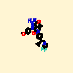 COc1ccc(-n2nc(C(N)=O)c3c2C(=O)N(c2ccc(C(CN4CCC(F)(F)C4)C4CC4)cc2)CC32CC2)cc1